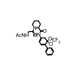 CC(=O)NCC(=O)N1CCCCC1C(=O)NC1=CC=C(c2ccccc2)C(Cl)(OC(F)(F)F)C1